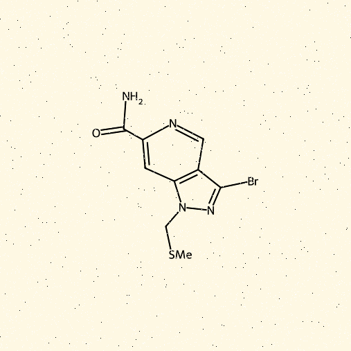 CSCn1nc(Br)c2cnc(C(N)=O)cc21